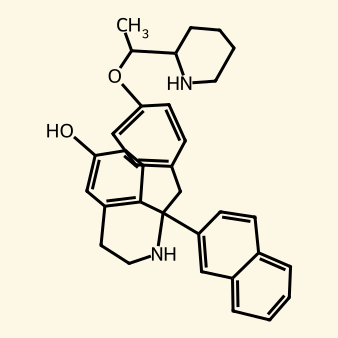 CC(Oc1ccc(CC2(c3ccc4ccccc4c3)NCCc3cc(O)ccc32)cc1)C1CCCCN1